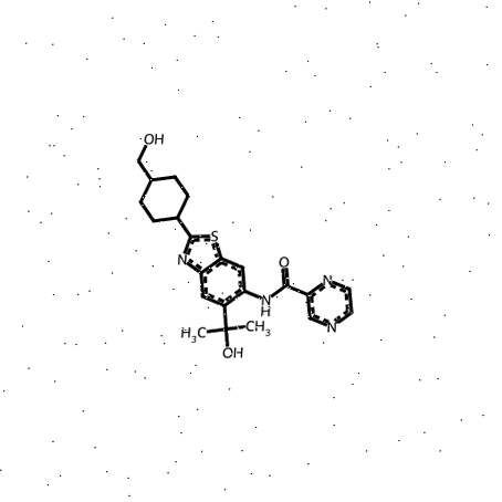 CC(C)(O)c1cc2nc(C3CCC(CO)CC3)sc2cc1NC(=O)c1cnccn1